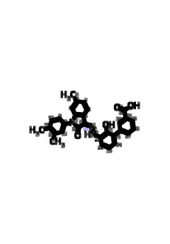 Cc1ccc2c(c1)N(c1ccc(C)c(C)c1)C(=O)/C2=N\Nc1cccc(-c2cccc(C(=O)O)c2)c1O